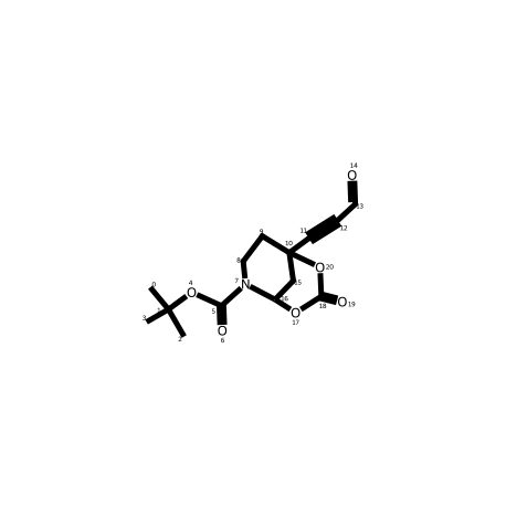 CC(C)(C)OC(=O)N1CCC2(C#CC=O)CC1OC(=O)O2